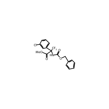 COC(=O)C(NC(=O)OCc1ccccc1)(c1cccc(Cl)c1)C(F)(F)F